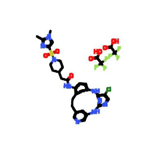 Cc1nc(S(=O)(=O)N2CCC(CC(=O)Nc3ccc4cc3CCc3cncc(c3)Nc3ncc(Cl)c(n3)N4)CC2)cn1C.O=C(O)C(F)(F)F.O=C(O)C(F)(F)F